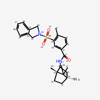 Cc1ccc(C(=O)NC2C[C@H]3CC[C@@]2(C)C3(C)C)cc1S(=O)(=O)N1Cc2ccccc2C1